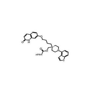 CCCCCCC(=O)OC[N+]1(CCCCOc2ccc3ccc(=O)[nH]c3c2)CCN(c2cccc3sccc23)CC1